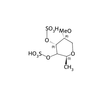 CO[C@@H]1CO[C@@H](C)C(OS(=O)(=O)O)[C@@H]1OS(=O)(=O)O